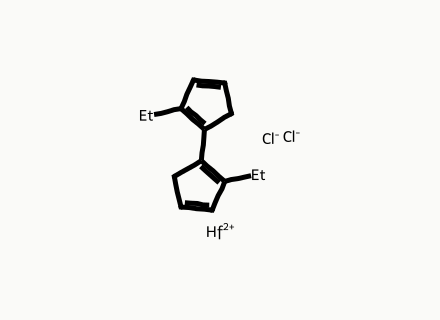 CCC1=C(C2=C(CC)C=CC2)CC=C1.[Cl-].[Cl-].[Hf+2]